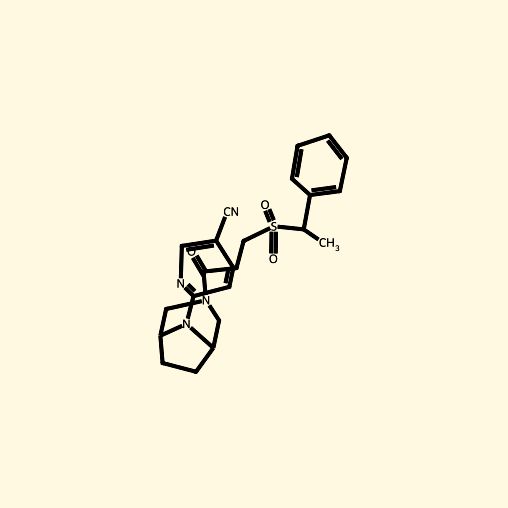 CC(c1ccccc1)S(=O)(=O)CCC(=O)N1CC2CCC(C1)N2c1ccc(C#N)cn1